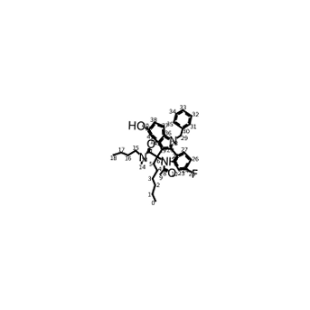 CCCCCCC(NC(C)=O)(C(=O)N(C)CCCC)c1c(-c2ccc(F)cc2)n(Cc2ccccc2)c2ccc(O)cc12